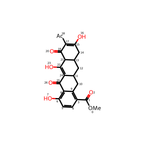 COC(=O)c1ccc(O)c2c1CC1CC3CC(O)=C(C(C)=O)C(=O)C3C(O)=C1C2=O